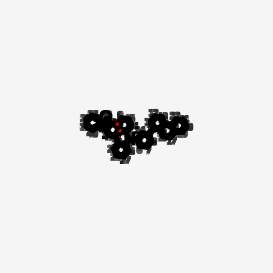 c1ccc(N(c2cccc(-c3cccc4c3ccc3ccccc34)c2)c2ccccc2-c2ccc3oc4ccccc4c3c2)cc1